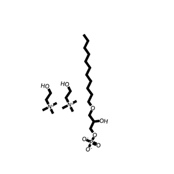 CCCCCCCCCCCOCC(O)COP(=O)([O-])[O-].C[N+](C)(C)CCO.C[N+](C)(C)CCO